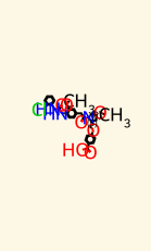 COc1cc(CC(=O)N2C[C@H](OC)C[C@H]2COc2ccc(C(=O)O)cc2)ccc1NC(=O)Nc1ccccc1Cl